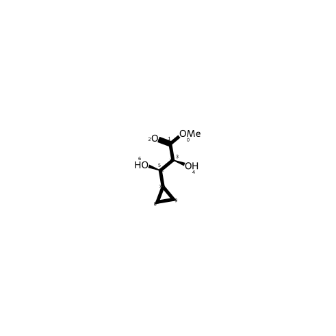 COC(=O)[C@@H](O)[C@H](O)C1CC1